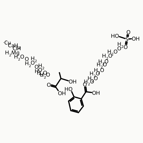 CC(O)C(=O)O.Cl.O.O.O.O.O.O.O.O.O.O.O.O.O.O.O.O.O=C(O)c1ccccc1O.O=S(=O)(O)O.[CaH2].[Cu].[MgH2]